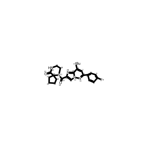 CC(C)(C)c1cc(-c2ccc(F)cc2)nn2cc(C(=O)N3CCNC(=O)C34CCCC4)nc12